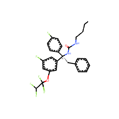 CCCCNC(=O)N[C@](Cc1ccccc1)(c1ccc(F)cc1)c1cc(F)cc(OC(F)(F)C(F)F)c1